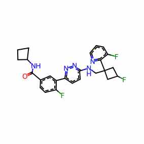 O=C(NC1CCC1)c1ccc(F)c(-c2ccc(NCC3(c4ncccc4F)CC(F)C3)nn2)c1